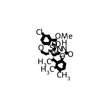 COC(=O)c1cc(Cl)cc2c1S(=O)(=O)N([C@H](c1n[nH]c(=O)o1)C(C)c1c(F)ccc(C)c1C)CCO2